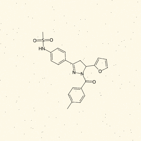 Cc1ccc(C(=O)N2N=C(c3ccc(NS(C)(=O)=O)cc3)CC2c2ccco2)cc1